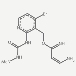 CNNC(=O)Nc1nccc(Br)c1COC(=N)/C=C\N